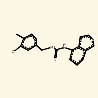 Cc1ccc(CNC(=O)Nc2cccc3cnccc23)cc1Cl